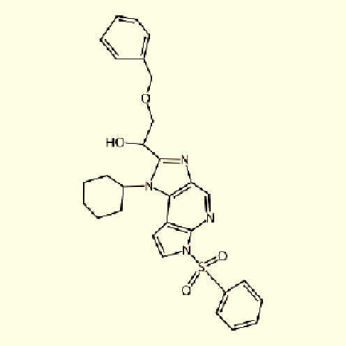 O=S(=O)(c1ccccc1)n1ccc2c1ncc1nc(C(O)COCc3ccccc3)n(C3CCCCC3)c12